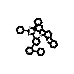 c1ccc(-c2nc(-c3ccccc3)nc(-c3cc(-c4ccccc4-c4ccccc4)ccc3-n3c4ccccc4c4ccc5c6ccccc6sc5c43)n2)cc1